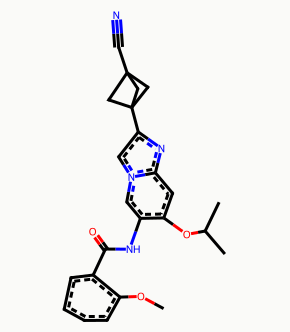 COc1ccccc1C(=O)Nc1cn2cc(C34CC(C#N)(C3)C4)nc2cc1OC(C)C